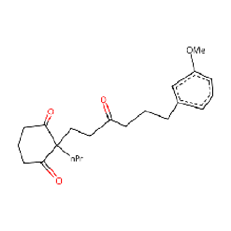 CCCC1(CCC(=O)CCCc2cccc(OC)c2)C(=O)CCCC1=O